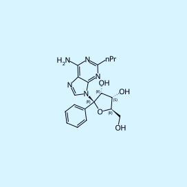 CCCc1nc(N)c2ncn([C@]3(c4ccccc4)O[C@H](CO)[C@@H](O)[C@H]3O)c2n1